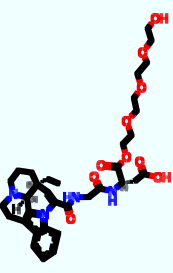 CC[C@@]12C=C(C(=O)NCC(=O)N[C@@H](CC(=O)O)C(=O)OCCOCCOCCOCCO)n3c4c(c5ccccc53)CCN(CCC1)[C@H]42